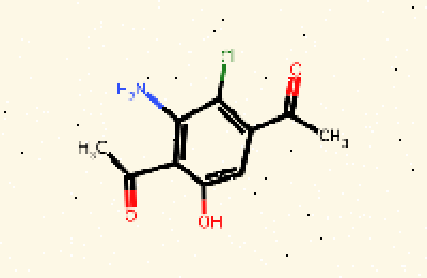 CC(=O)c1cc(O)c(C(C)=O)c(N)c1Cl